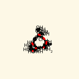 CN[C@H](CC(C)C)C(=O)N[C@H]1C(=O)N[C@@H](CC(N)=O)C(=O)NCC(=O)N[C@H]2C(=O)N[C@H](C(=O)C[C@H](C(=O)O)c3cc(O)cc(O)c3-c3cc2ccc3O)[C@H](O)c2ccc(cc2)Oc2cccc(c2O[C@@H]2O[C@H](CO)[C@@H](O)[C@H](O)[C@H]2O[C@H]2C[C@](C)(N)[C@H](O)[C@H](C)O2)Oc2ccc(cc2Cl)[C@H]1O